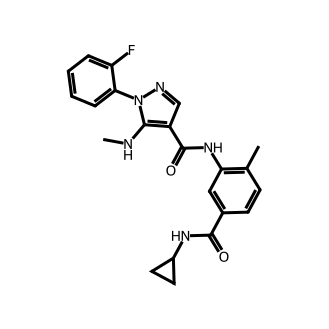 CNc1c(C(=O)Nc2cc(C(=O)NC3CC3)ccc2C)cnn1-c1ccccc1F